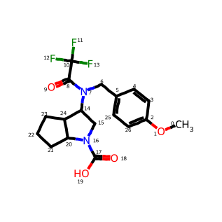 COc1ccc(CN(C(=O)C(F)(F)F)C2CN(C(=O)O)C3CCCC32)cc1